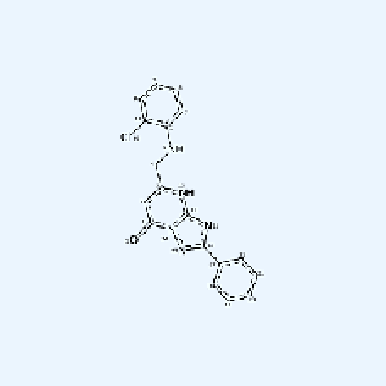 O=c1cc(CNc2ccccc2Cl)[nH]c2nc(-c3ccccc3)nn12